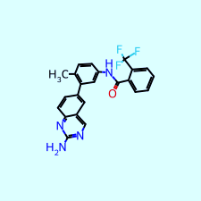 Cc1ccc(NC(=O)c2ccccc2C(F)(F)F)cc1-c1ccc2nc(N)ncc2c1